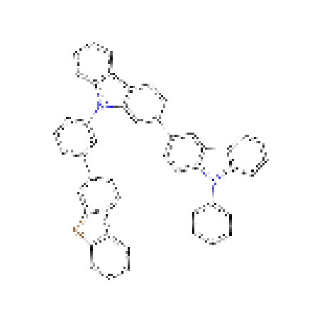 c1ccc(-n2c3ccccc3c3cc(-c4ccc5c6ccccc6n(-c6cccc(-c7ccc8c(c7)sc7ccccc78)c6)c5c4)ccc32)cc1